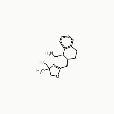 CC1(C)COC(C[C@@H]2CCc3ccccc3[C@@H]2CN)=N1